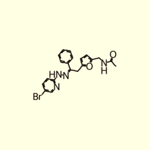 CC(=O)NCc1ccc(CC(=NNc2ccc(Br)cn2)c2ccccc2)o1